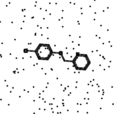 Clc1ccc(OCc2ccccn2)cc1